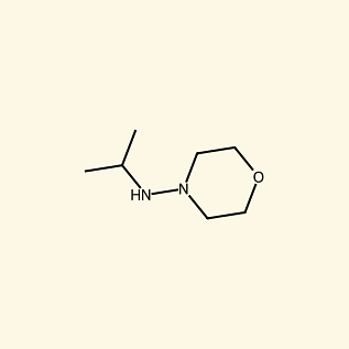 CC(C)NN1CCOCC1